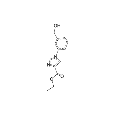 CCOC(=O)c1cn(-c2cccc(CO)c2)cn1